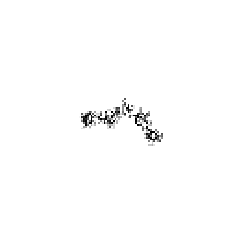 CN(CCC1CCC(CCc2ccccc2)O1)CCC1CCC(CCc2ccccc2)O1